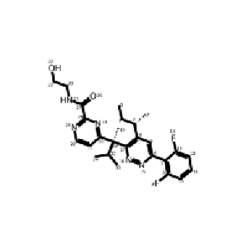 CC[C@H](C)c1cc(-c2c(F)cccc2F)nnc1[C@](C)(c1ccnc(C(=O)NCCO)n1)C(C)C